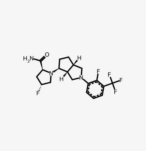 NC(=O)[C@@H]1C[C@@H](F)CN1[C@H]1CC[C@@H]2CN(c3cccc(C(F)(F)F)c3F)C[C@@H]21